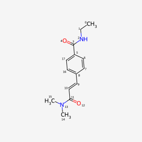 CCNC(=O)c1ccc(/C=C/C(=O)N(C)C)cc1